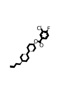 C=CCC[C@H]1CC[C@H]([C@H]2CC[C@H](OC(=O)c3ccc(F)c(Cl)c3)CC2)CC1